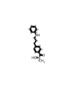 CN(O)C(=O)c1ccc(CCCNc2ccccc2)cc1